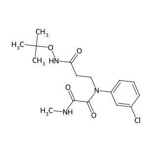 CNC(=O)C(=O)N(CCC(=O)NOC(C)(C)C)c1cccc(Cl)c1